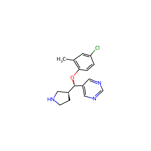 Cc1cc(Cl)ccc1O[C@@H](c1cncnc1)[C@H]1CCNC1